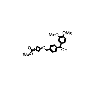 COc1ccc(C(O)c2ccc(COC3CN(C(=O)OC(C)(C)C)C3)cc2)cc1OC